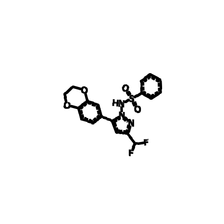 O=S(=O)(Nn1nc(C(F)F)cc1-c1ccc2c(c1)OCCO2)c1ccccc1